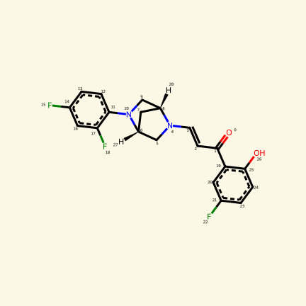 O=C(/C=C/N1C[C@H]2C[C@@H]1CN2c1ccc(F)cc1F)c1cc(F)ccc1O